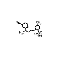 Cc1ccc(S(=O)(=O)O)c(CCCN(C)c2cccc(C#N)c2)c1